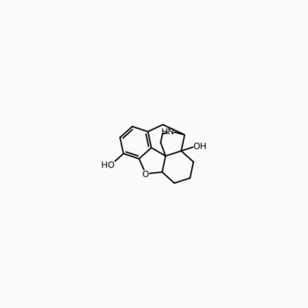 Oc1ccc2c3c1OC1CCCC4(O)C(C2)NCCC314